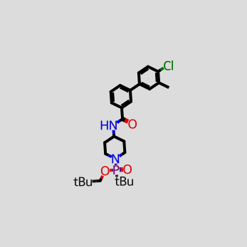 Cc1cc(-c2cccc(C(=O)NC3CCN(P(=O)(OCC(C)(C)C)C(C)(C)C)CC3)c2)ccc1Cl